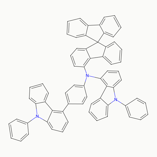 c1ccc(-n2c3ccccc3c3c(-c4ccc(N(c5cccc6c5-c5ccccc5C65c6ccccc6-c6ccccc65)c5cccc6c5c5ccccc5n6-c5ccccc5)cc4)cccc32)cc1